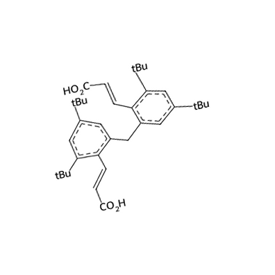 CC(C)(C)c1cc(Cc2cc(C(C)(C)C)cc(C(C)(C)C)c2C=CC(=O)O)c(C=CC(=O)O)c(C(C)(C)C)c1